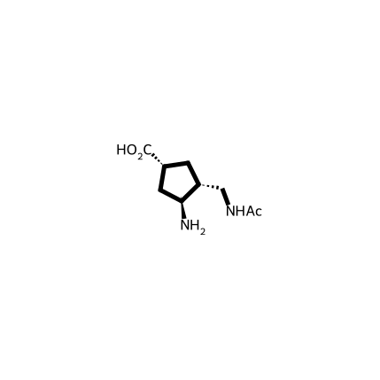 CC(=O)NC[C@H]1C[C@@H](C(=O)O)C[C@@H]1N